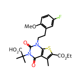 CCOC(=O)c1sc2c(c1C)c(=O)n(C(C)(C)C(=O)O)c(=O)n2CCc1cc(F)ccc1OC